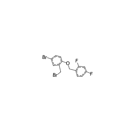 Fc1ccc(COc2ccc(Br)cc2CBr)c(F)c1